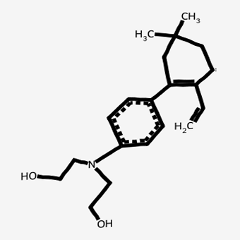 C=CC1=C(c2ccc(N(CCO)CCO)cc2)CC(C)(C)C[C]1